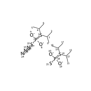 CC(C)S(C(C)C)=P([O-])([O-])[S-].CC(C)S(C(C)C)=P([O-])([O-])[S-].[Ni+2].[Ni+2].[Ni+2]